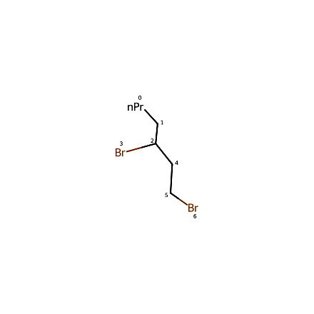 CCCCC(Br)CCBr